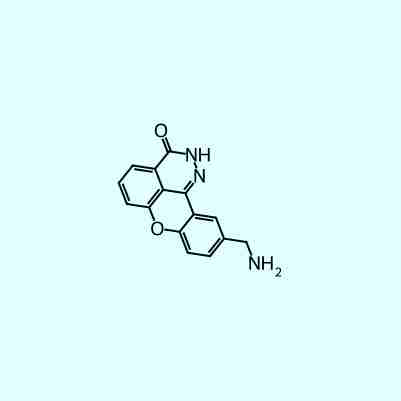 NCc1ccc2c(c1)-c1n[nH]c(=O)c3cccc(c13)O2